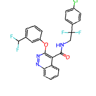 O=C(NCC(F)(F)c1ccc(Cl)cc1)c1c(Oc2cccc(C(F)F)c2)nnc2ccccc12